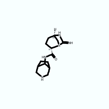 N=C1N[C@@H]2CC[C@@H](C(=O)NC3C4CCC3CNC4)N1C2